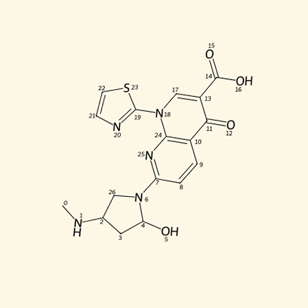 CNC1CC(O)N(c2ccc3c(=O)c(C(=O)O)cn(-c4nccs4)c3n2)C1